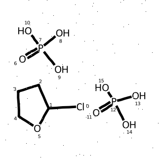 ClC1CCCO1.O=P(O)(O)O.O=P(O)(O)O